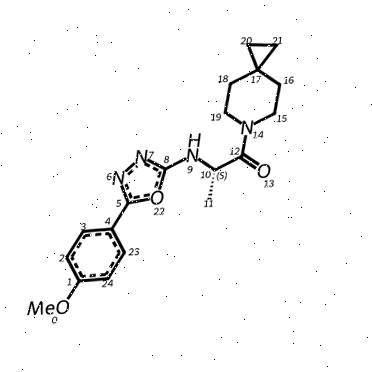 COc1ccc(-c2nnc(N[C@@H](C)C(=O)N3CCC4(CC3)CC4)o2)cc1